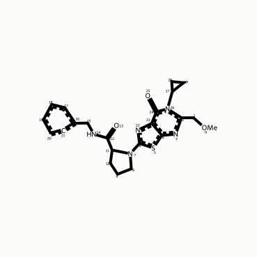 COCc1nc2sc(N3CCCC3C(=O)NCc3ccccc3)nc2c(=O)n1C1CC1